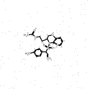 C=CC(c1ccc(C)cc1)S(=O)(=O)N1c2ccccc2OCC1CCOC(C)=O